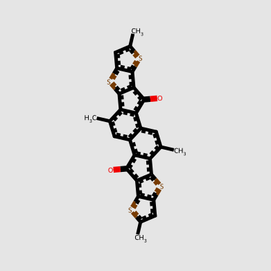 Cc1cc2sc3c4c(C)cc5c(cc(C)c6c7sc8cc(C)sc8c7c(=O)c56)c4c(=O)c3c2s1